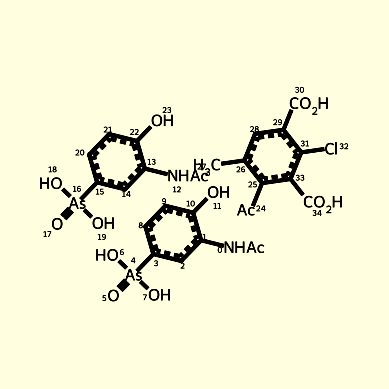 CC(=O)Nc1cc([As](=O)(O)O)ccc1O.CC(=O)Nc1cc([As](=O)(O)O)ccc1O.CC(=O)c1c(C)cc(C(=O)O)c(Cl)c1C(=O)O